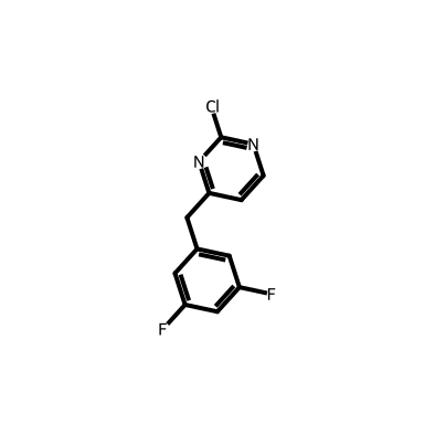 Fc1cc(F)cc(Cc2ccnc(Cl)n2)c1